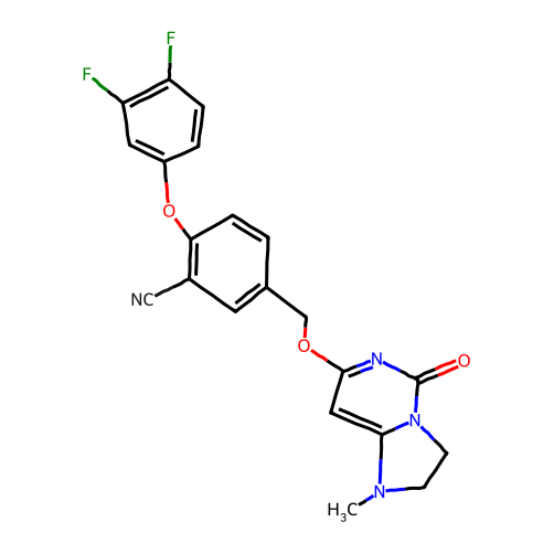 CN1CCn2c1cc(OCc1ccc(Oc3ccc(F)c(F)c3)c(C#N)c1)nc2=O